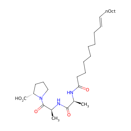 CCCCCCCCC=CCCCCCCCC(=O)N[C@@H](C)C(=O)N[C@@H](C)C(=O)N1CCC[C@H]1C(=O)O